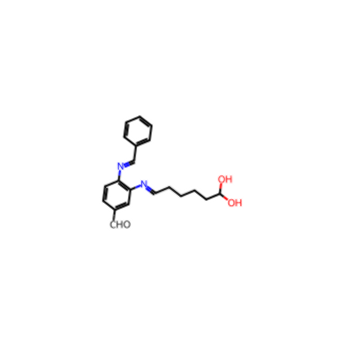 O=Cc1ccc(/N=C/c2ccccc2)c(/N=C/CCCCC(O)O)c1